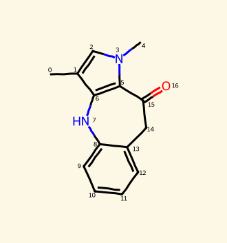 Cc1cn(C)c2c1Nc1ccccc1CC2=O